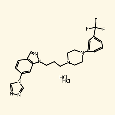 Cl.Cl.FC(F)(F)c1cccc(N2CCN(CCCn3ncc4ccc(-n5cnnc5)cc43)CC2)c1